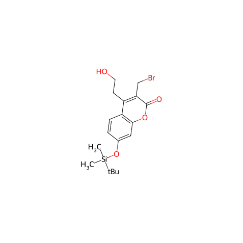 CC(C)(C)[Si](C)(C)Oc1ccc2c(CCO)c(CBr)c(=O)oc2c1